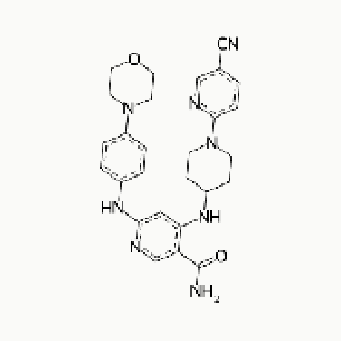 N#Cc1ccc(N2CCC(Nc3cc(Nc4ccc(N5CCOCC5)cc4)ncc3C(N)=O)CC2)nc1